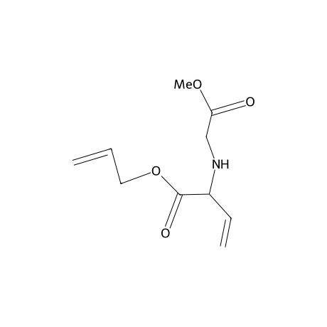 C=CCOC(=O)C(C=C)NCC(=O)OC